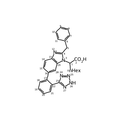 CCCCCCC(C(=O)O)n1c(Cc2ccccc2)nc2ccc(-c3ccccc3-c3nn[nH]n3)cc21